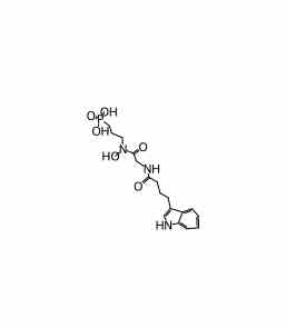 O=C(CCCc1c[nH]c2ccccc12)NCC(=O)N(O)CCCP(=O)(O)O